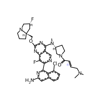 CN(C)C/C=C/C(=O)N1CC[C@@H](N(C)c2nc(OC[C@@]34CCCN3C[C@H](F)C4)nc3c(F)c(-c4nc(N)cc5cccc(Cl)c45)ncc23)C1